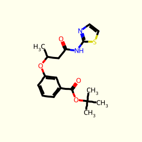 CC(CC(=O)Nc1nccs1)Oc1cccc(C(=O)OC(C)(C)C)c1